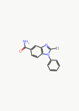 CCc1nc2cc(C(N)=O)ccc2n1-c1ccccc1